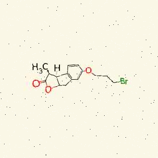 C[C@@H]1C(=O)OC2Cc3cc(OCCCBr)ccc3[C@@H]21